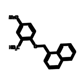 COc1ccc(OCc2cccc3ccccc23)c(C(=O)O)c1